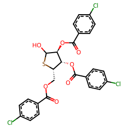 O=C(OC[C@@H]1SC(O)[C@@H](OC(=O)c2ccc(Cl)cc2)[C@@H]1OC(=O)c1ccc(Cl)cc1)c1ccc(Cl)cc1